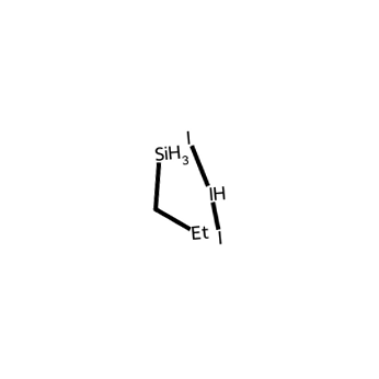 CCC[SiH3].I[IH]I